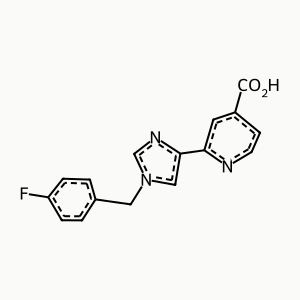 O=C(O)c1ccnc(-c2cn(Cc3ccc(F)cc3)cn2)c1